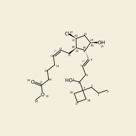 CCCC1(C(O)C/C=C/[C@@H]2[C@@H](C/C=C\CCCC(=O)OC)[C@@H](Cl)C[C@H]2O)CCC1